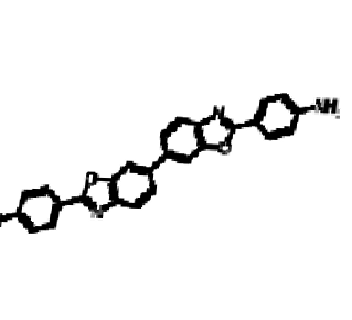 Nc1ccc(-c2nc3ccc(-c4ccc5nc(-c6ccc(N)cc6)oc5c4)cc3o2)cc1